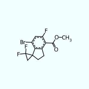 COC(=O)c1c(F)cc(Br)c2c1CCC21CC1(F)F